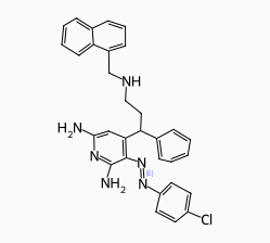 Nc1cc(C(CCNCc2cccc3ccccc23)c2ccccc2)c(/N=N/c2ccc(Cl)cc2)c(N)n1